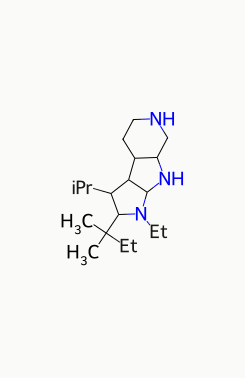 CCN1C2NC3CNCCC3C2C(C(C)C)C1C(C)(C)CC